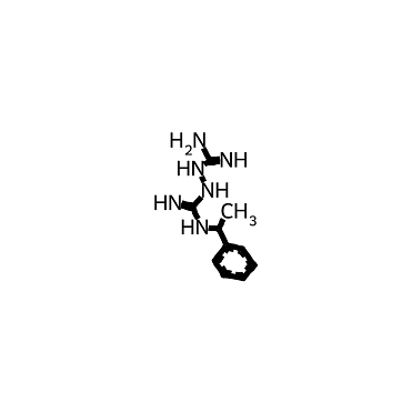 CC(NC(=N)NNC(=N)N)c1ccccc1